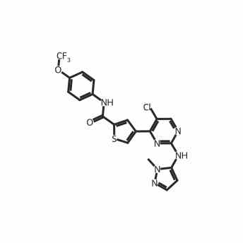 Cn1nccc1Nc1ncc(Cl)c(-c2csc(C(=O)Nc3ccc(OC(F)(F)F)cc3)c2)n1